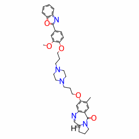 COc1cc(-c2nc3ccccc3o2)ccc1OCCCN1CCN(CCCOc2cc3c(cc2C)C(=O)N2CCC[C@H]2C=N3)CC1